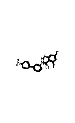 CN(C)C1CC=C(c2cccc(NC(=O)c3c(F)cc(F)cc3F)c2)CC1